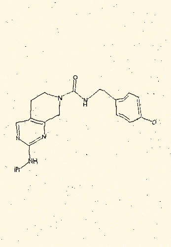 CC(C)Nc1ncc2c(n1)CN(C(=O)NCc1ccc(Cl)cc1)CC2